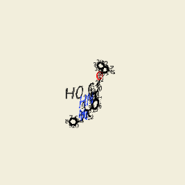 Cc1nn(Cc2ccccc2)c(C)c1-c1cccc2c(CCCOc3cccc4ccccc34)c(C(=O)O)[nH]c12